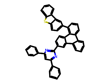 c1ccc(-c2cc(-c3ccccc3)nc(-c3ccc4c(c3)c3ccccc3c3cccc(-c5ccc6sc7ccccc7c6c5)c34)n2)cc1